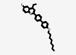 CCCCCCCCOc1ccc(-c2ccc(-c3cc(CC)c4cc(F)ccc4n3)cc2)cc1